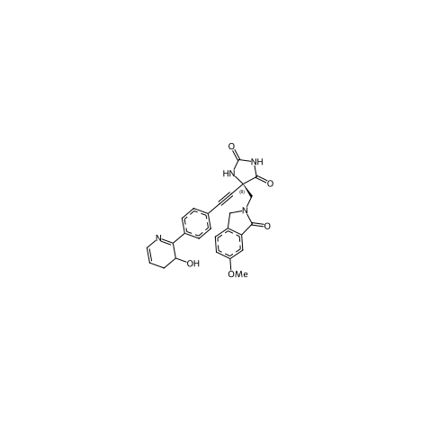 COc1ccc2c(c1)C(=O)N(C[C@@]1(C#Cc3ccc(C4=NC=CCC4O)cc3)NC(=O)NC1=O)C2